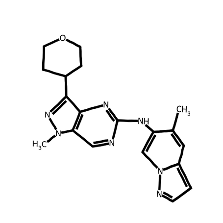 Cc1cc2ccnn2cc1Nc1ncc2c(n1)c(C1CCOCC1)nn2C